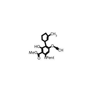 C#COc1cc(CCCCC)c(C(=O)OC)c(O)c1C1C=C(C)CCC1